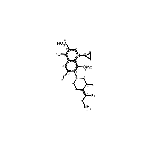 COc1c(N2CCC(=C(F)CN)C(C)C2)c(F)cc2c(=O)c(C(=O)O)cn(C3CC3)c12